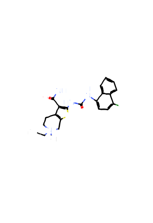 CC(C)C[N+]1(C)CCc2c(sc(NC(=O)Nc3ccc(Cl)c4ccccc34)c2C(N)=O)C1